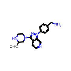 NCc1ccc(-n2nc(N3CCNC(C=O)C3)c3ccncc32)cc1